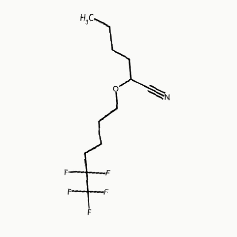 CCCCC(C#N)OCCCCC(F)(F)C(F)(F)F